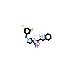 N#CC1(NC(=O)C(N)CC2CCCCC2)CCN(Cc2cc(F)cc(F)c2)C1